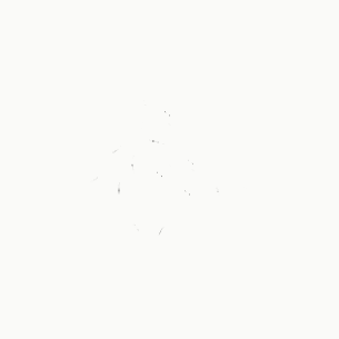 Clc1ncc(-c2nc(-c3ccccc3)nc(-c3ccccc3)n2)c2c1oc1cc3ccccc3cc12